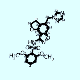 COc1cccc(OC)c1S(=O)(=O)Nc1noc2cc(Cn3cncn3)c3c(c12)OCC3